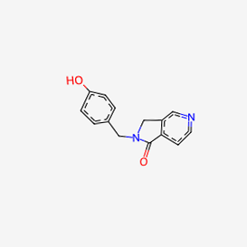 O=C1c2ccncc2CN1Cc1ccc(O)cc1